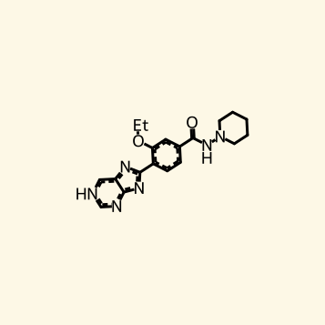 CCOc1cc(C(=O)NN2CCCCC2)ccc1-c1nc2c[nH]cnc-2n1